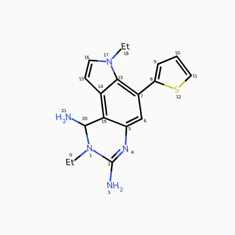 CCN1C(N)=Nc2cc(-c3cccs3)c3c(ccn3CC)c2C1N